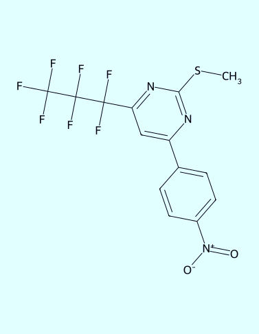 CSc1nc(-c2ccc([N+](=O)[O-])cc2)cc(C(F)(F)C(F)(F)C(F)(F)F)n1